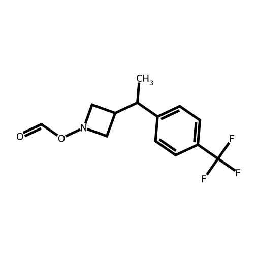 CC(c1ccc(C(F)(F)F)cc1)C1CN(OC=O)C1